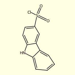 O=S(=O)(Cl)c1ccc2[nH]c3ccccc3c2c1